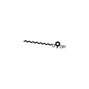 CCCCCCCCCCCCCCCCOc1cccc(O)c1C